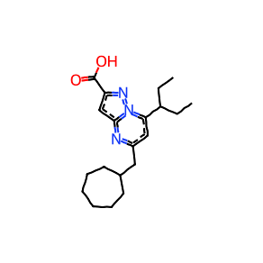 CCC(CC)c1cc(CC2CCCCCC2)nc2cc(C(=O)O)nn12